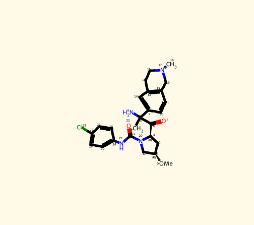 CO[C@@H]1C[C@H](C(=O)C(C)(N)c2ccc3c(c2)CCN(C)C3)N(C(=O)Nc2ccc(Cl)cc2)C1